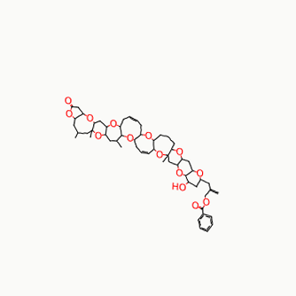 C=C(COC(=O)c1ccccc1)CC1CC(O)C2OC3CC4(C)OC5/C=C\CC6OC7C(C)CC8OC9(C)CC(C)CC%10OC(=O)CC%10OC9CC8OC7C/C=C\CC6OC5CCCC4OC3CC2O1